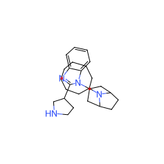 c1ccc2c(c1)nc(C1CCNC1)n2C1CC2CCC(C1)N2C1CCCCCCC1